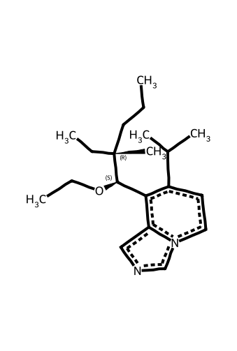 CCC[C@@](C)(CC)[C@H](OCC)c1c(C(C)C)ccn2cncc12